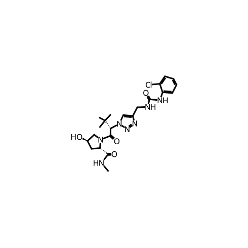 CNC(=O)[C@@H]1C[C@@H](O)CN1C(=O)[C@@H](n1cc(CNC(=O)Nc2ccccc2Cl)nn1)C(C)(C)C